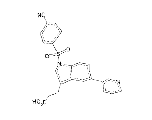 N#Cc1ccc(S(=O)(=O)n2cc(CCC(=O)O)c3cc(-c4cccnc4)ccc32)cc1